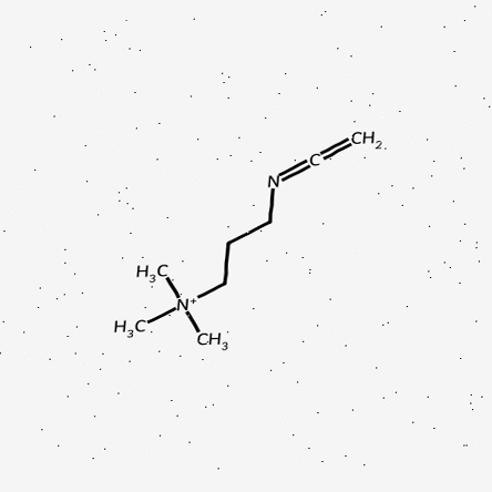 C=C=NCCC[N+](C)(C)C